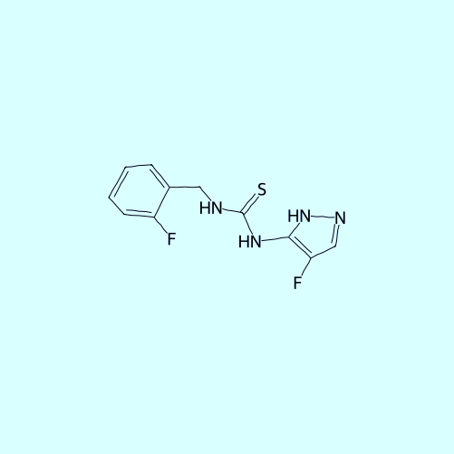 Fc1ccccc1CNC(=S)Nc1[nH]ncc1F